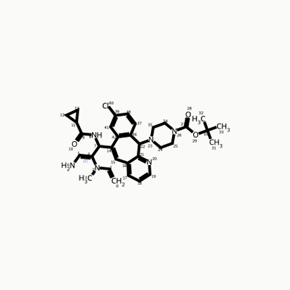 C=CN(C)/C(=C\N)C(NC(=O)C1CC1)C1=Cc2cccnc2C(N2CCN(C(=O)OC(C)(C)C)CC2)c2ccc(Cl)cc21